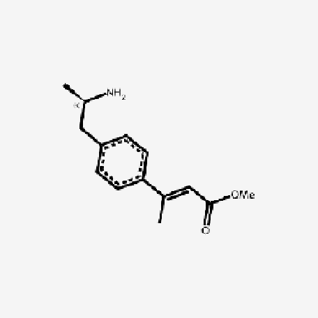 COC(=O)C=C(C)c1ccc(C[C@@H](C)N)cc1